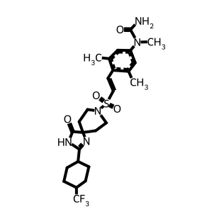 Cc1cc(N(C)C(N)=O)cc(C)c1/C=C/S(=O)(=O)N1CCC2(CC1)N=C(C1CCC(C(F)(F)F)CC1)NC2=O